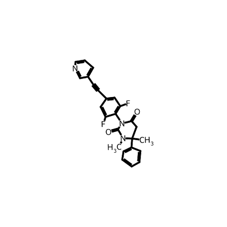 CN1C(=O)N(c2c(F)cc(C#Cc3cccnc3)cc2F)C(=O)CC1(C)c1ccccc1